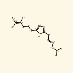 CC(C)O/N=C/Cc1cnc(SCCC(F)=C(F)F)s1